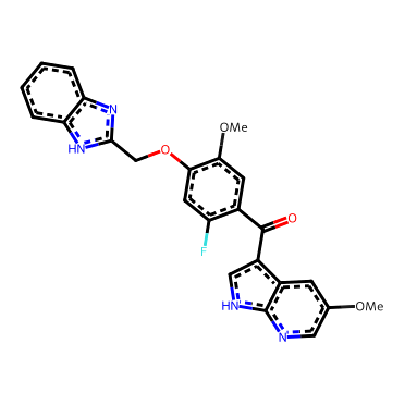 COc1cnc2[nH]cc(C(=O)c3cc(OC)c(OCc4nc5ccccc5[nH]4)cc3F)c2c1